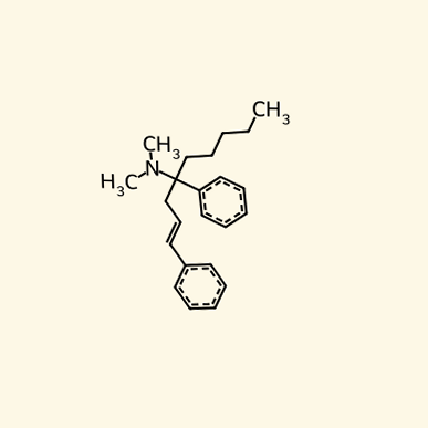 CCCCCC(CC=Cc1ccccc1)(c1ccccc1)N(C)C